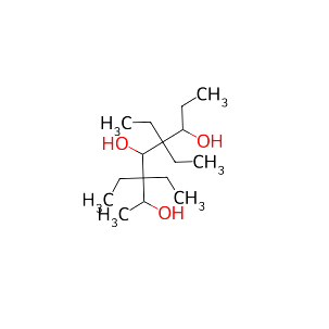 CCC(O)C(CC)(CC)C(O)C(CC)(CC)C(C)O